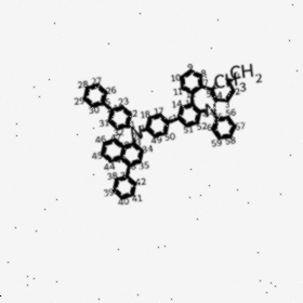 C=C/C=C\C1=C(C)c2ccccc2-c2cc(-c3ccc(N(c4ccc(-c5ccccc5)cc4)c4ccc(-c5ccccc5)c5ccccc45)cc3)ccc2N1c1ccccc1